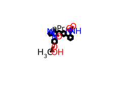 CCCc1c(Cc2ccc(-c3ccccc3-c3noc(=O)[nH]3)cc2)c(=O)n([C@H]2CC[C@H](OCC(C)O)CC2)c2ccnn12